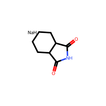 O=C1NC(=O)C2CCCCC12.[NaH]